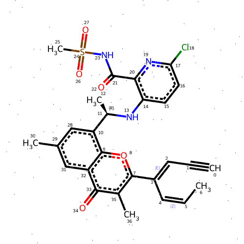 C#C/C=C(\C=C/C)c1oc2c([C@@H](C)Nc3ccc(Cl)nc3C(=O)NS(C)(=O)=O)cc(C)cc2c(=O)c1C